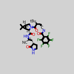 CC(C)(C)C(C=C=NC(=O)c1c(F)c(F)c(F)c(F)c1F)C(=O)N1C[C@H]2C([C@H]1C(=O)N[C@H](C#N)C[C@@H]1CCNC1=O)C2(C)C